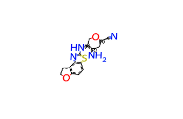 N#C[C@H]1C[C@@H](N)[C@@H](Nc2nc3c4c(ccc3s2)OCC4)CO1